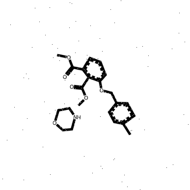 C1COCCN1.COC(=O)c1cccc(OCc2ccc(C)cc2)c1C(=O)OC